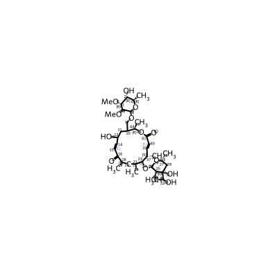 CO[C@@H]1[C@H](O)[C@@H](C)O[C@@H](OCC2CC(O)/C=C/C(=O)[C@H](C)C[C@H](C)[C@H](O[C@@H]3O[C@H](C)C[C@](O)([C@H](C)O)[C@H]3O)[C@@H](C)/C=C/C(=O)O[C@@H]2C)[C@@H]1OC